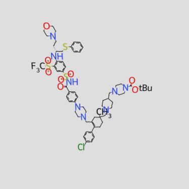 CC1(CN2CCC(CN3CCN(C(=O)OC(C)(C)C)CC3)CC2)CCC(c2ccc(Cl)cc2)=C(CN2CCN(c3ccc(C(=O)NS(=O)(=O)c4ccc(N[C@H](CCN5CCOCC5)CSc5ccccc5)c(S(=O)(=O)C(F)(F)F)c4)cc3)CC2)C1